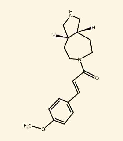 O=C(/C=C/c1ccc(OC(F)(F)F)cc1)N1CC[C@@H]2CNC[C@@H]2CC1